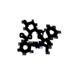 C=C1CCC(C(C)C)C(OC(=O)c2ccccc2N/N=C2\C(=O)N(c3ccccc3)N=C2C)C1